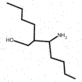 CCCCC(N)C(CO)CCCC